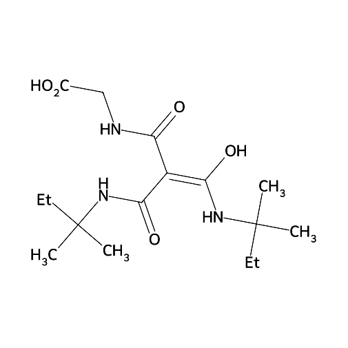 CCC(C)(C)NC(=O)/C(C(=O)NCC(=O)O)=C(/O)NC(C)(C)CC